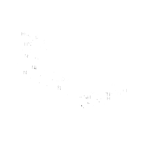 COC(=O)N[C@@H](C(=O)N1CCC[C@H]1c1ncc(-c2ccc3oc(-c4ccc(-c5cnc([C@@H]6CCCN6C(=O)[C@H](NC(=O)O)C6CC6)[nH]5)cc4)nc3c2)[nH]1)C1CC1